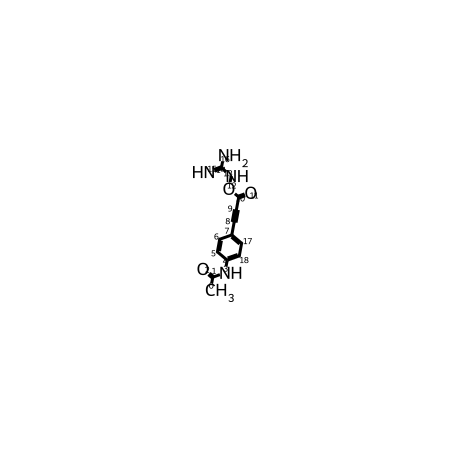 CC(=O)Nc1ccc(C#CC(=O)ONC(=N)N)cc1